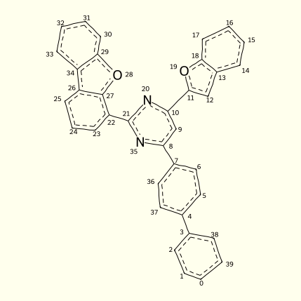 c1ccc(-c2ccc(-c3cc(-c4cc5ccccc5o4)nc(-c4cccc5c4oc4ccccc45)n3)cc2)cc1